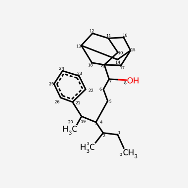 CCC(C)[C](CCC(O)C12CC3CC(CC(C3)C1)C2)C(C)c1ccccc1